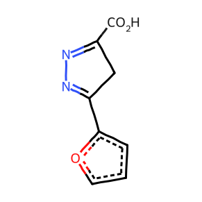 O=C(O)C1=NN=C(c2ccco2)C1